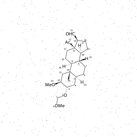 COCO[C@H]1C[C@@H]2CC[C@@H]3[C@H](CC[C@]4(C(C)=O)[C@@H](C=O)CC[C@@H]34)[C@@]2(C)C[C@@H]1OC